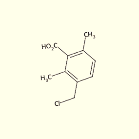 Cc1ccc(CCl)c(C)c1C(=O)O